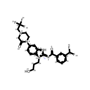 O=C(/N=c1\[nH]c2cc(N3CCN(CC(F)(F)F)CC3=O)ccc2n1CCCO)c1cccc(C(F)F)c1